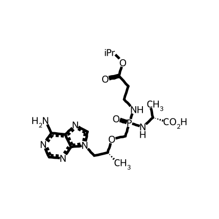 CC(C)OC(=O)CCNP(=O)(CO[C@H](C)Cn1cnc2c(N)ncnc21)N[C@H](C)C(=O)O